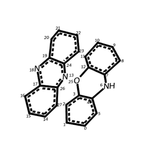 c1ccc2c(c1)Nc1ccccc1O2.c1ccc2nc3ccccc3nc2c1